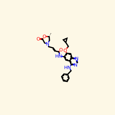 C[C@@H]1CN(CC=CC(=O)Nc2cc3c(NCc4ccccc4)ncnc3cc2OCC2CC2)CC(=O)O1